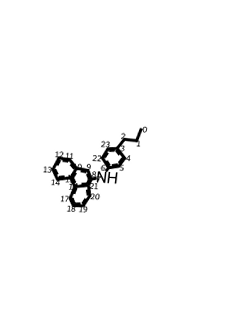 CCCc1ccc(Nc2cc3ccccc3c3ccccc23)cc1